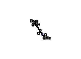 CCNC(=O)NCCCOC(=O)/C=C/C(=O)OC